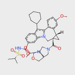 COc1ccc2c(c1)[C@@H]1C[C@]1(C(=O)N1CC34COCC3(C1)N(C(C)=O)C4)Cn1c-2c(C2CCCCC2)c2ccc(C(=O)NS(=O)(=O)C(C)C)cc21